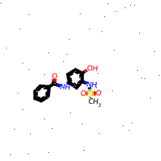 CS(=O)(=O)Nc1cc(NC(=O)c2ccccc2)ccc1O